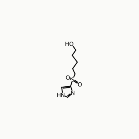 O=S(=O)(CCCCCO)c1c[nH]cn1